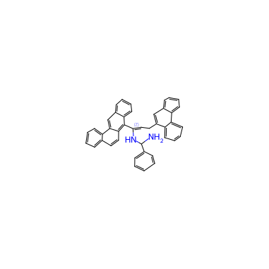 NC(N/C(=C\Cc1cc2ccccc2c2ccccc12)c1c2ccccc2cc2c1ccc1ccccc12)c1ccccc1